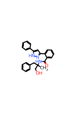 CC(CO)(Cc1ccccc1)NC(=O)c1ccccc1-c1cc(-c2ccccc2)[nH]n1